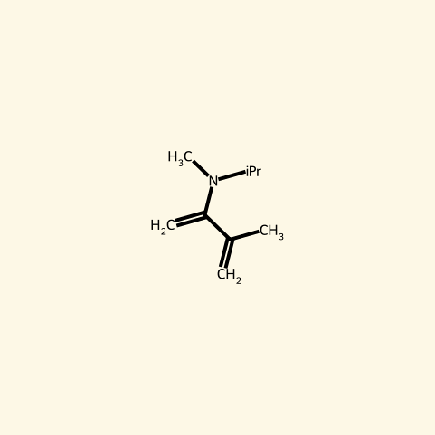 C=C(C)C(=C)N(C)C(C)C